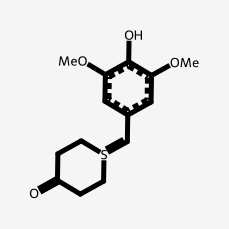 COc1cc(C=S2CCC(=O)CC2)cc(OC)c1O